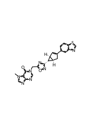 Cn1cnc2ncn(Cc3nc([C@@H]4[C@H]5C=C(c6ccc7scnc7c6)C[C@H]54)no3)c(=O)c21